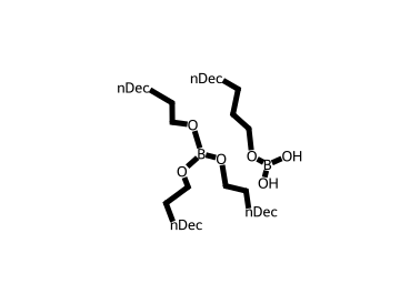 CCCCCCCCCCCCCOB(O)O.CCCCCCCCCCCCOB(OCCCCCCCCCCCC)OCCCCCCCCCCCC